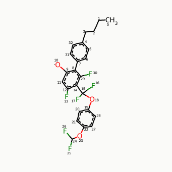 CCCCc1ccc(-c2c([O])cc(F)c(C(F)(F)Oc3ccc(OC(F)F)cc3)c2F)cc1